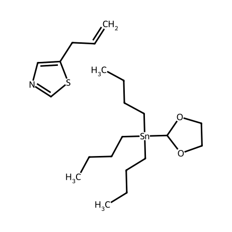 C=CCc1cncs1.CCC[CH2][Sn]([CH2]CCC)([CH2]CCC)[CH]1OCCO1